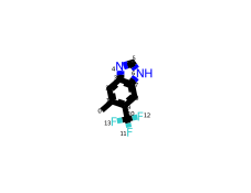 Cc1cc2nc[nH]c2cc1C(F)(F)F